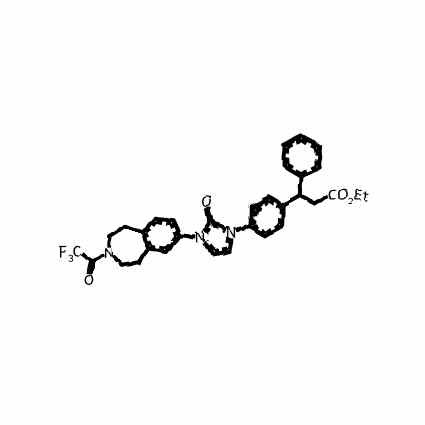 CCOC(=O)CC(c1ccccc1)c1ccc(-n2ccn(-c3ccc4c(c3)CCN(C(=O)C(F)(F)F)CC4)c2=O)cc1